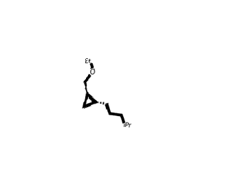 CCOC[C@@H]1C[C@H]1CCCC(C)C